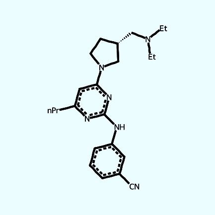 CCCc1cc(N2CC[C@H](CN(CC)CC)C2)nc(Nc2cccc(C#N)c2)n1